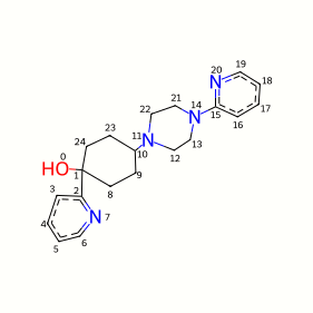 OC1(c2ccccn2)CCC(N2CCN(c3ccccn3)CC2)CC1